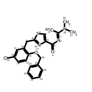 C/C(=N\C(=O)c1csc(Cc2cc(Cl)ccc2OCc2ccccc2)n1)N(C)C